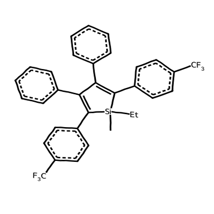 CC[Si]1(C)C(c2ccc(C(F)(F)F)cc2)=C(c2ccccc2)C(c2ccccc2)=C1c1ccc(C(F)(F)F)cc1